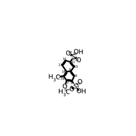 COc1c(S(=O)(=O)O)cc2cc(S(=O)(=O)O)ccc2c1C